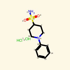 Cl.Cl.NS(=O)(=O)C1CCN(c2ccccc2)CC1